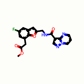 COC(=O)Cc1cc(F)cc2cc(CNC(=O)c3cnn4cccnc34)oc12